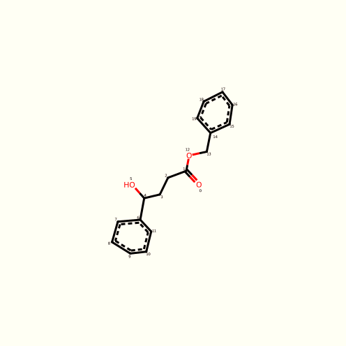 O=C(CCC(O)c1ccccc1)OCc1ccccc1